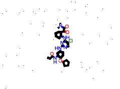 C=CC(=O)Nc1cc(Nc2ncc(Cl)c(Nc3ccccc3C(=O)C(=O)N(C)C)n2)ccc1OC1CCCC1